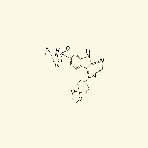 N#CC1(NS(=O)(=O)c2ccc3c(c2)[nH]c2ncnc(C4CCC5(CC4)OCCO5)c23)CC1